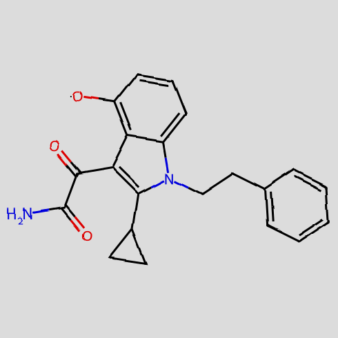 NC(=O)C(=O)c1c(C2CC2)n(CCc2ccccc2)c2cccc([O])c12